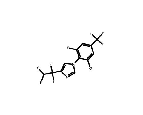 Fc1cc(C(F)(F)F)cc(Cl)c1-n1cnc(C(F)(F)C(F)F)c1